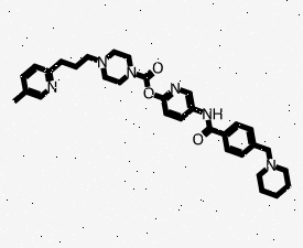 Cc1ccc(CCCN2CCN(C(=O)Oc3ccc(NC(=O)c4ccc(CN5CCCCC5)cc4)cn3)CC2)nc1